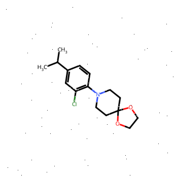 CC(C)c1ccc(N2CCC3(CC2)OCCO3)c(Cl)c1